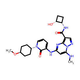 CNc1cc(Nc2cccn([C@H]3CC[C@H](OC)CC3)c2=O)nc2c(C(=O)N[C@H]3CC[C@H]3O)cnn12